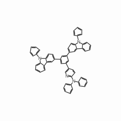 c1ccc(N(c2ccccc2)c2ccc(-c3cc(-c4ccc5c(c4)c4ccccc4n5-c4ccccc4)cc(-c4ccc5c(c4)c4ccccc4n5-c4ccccc4)c3)cn2)cc1